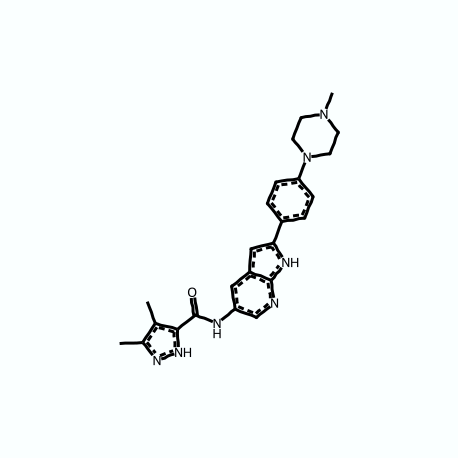 Cc1n[nH]c(C(=O)Nc2cnc3[nH]c(-c4ccc(N5CCN(C)CC5)cc4)cc3c2)c1C